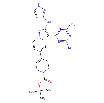 Cc1nc(N)nc(-c2c(Nc3cc[nH]n3)nc3ccc(C4=CCN(C(=O)OC(C)(C)C)CC4)cn23)n1